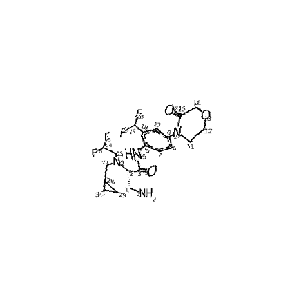 NC[C@@H](C(=O)Nc1ccc(N2CCOCC2=O)cc1C(F)F)N(CC(F)F)CC1CC1